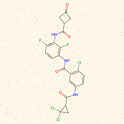 O=C1CC(C(=O)Nc2c(F)ccc(NC(=O)c3cc(NC(=O)C4CC4(Cl)Cl)ccc3Cl)c2F)C1